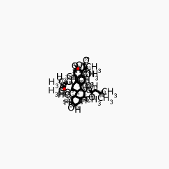 CC(=O)O[C@H]1C2C([C@@H](OC(=O)CC(C)C)[C@@H](C)[C@H]3C[C@@H]4O[C@@H]4[C@H](O)[C@]23C)[C@@H]2[C@@H](O)CC3[C@H]([C@H](C)[C@H]4O[C@]45OC(=O)[C@@](C)(O)[C@]35C)[C@@]2(C)[C@H]1OC(C)=O